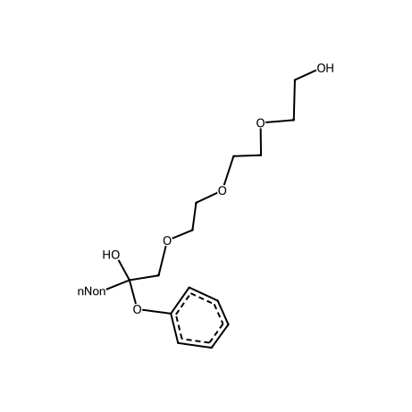 CCCCCCCCCC(O)(COCCOCCOCCO)Oc1ccccc1